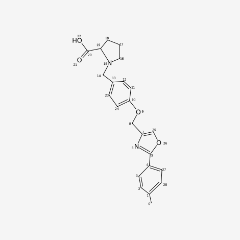 Cc1ccc(-c2nc(COc3ccc(CN4CCCC4C(=O)O)cc3)co2)cc1